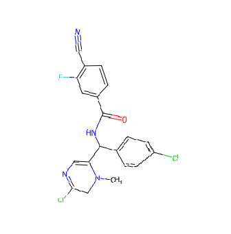 CN1CC(Cl)=NC=C1C(NC(=O)c1ccc(C#N)c(F)c1)c1ccc(Cl)cc1